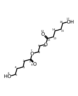 O=C(CCCCO)OCCOC(=O)CCCCO